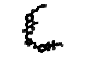 COC(=O)C(Cc1ccc(OCCO)cc1)NC(=O)Cn1cc(COc2ccc3nc(S(N)(=O)=O)sc3c2)nn1